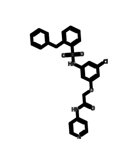 O=C(COc1cc(Cl)cc(NS(=O)(=O)c2ccccc2Cc2ccccc2)c1)Nc1ccncc1